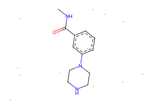 CNC(=O)c1cccc(N2CCNCC2)c1